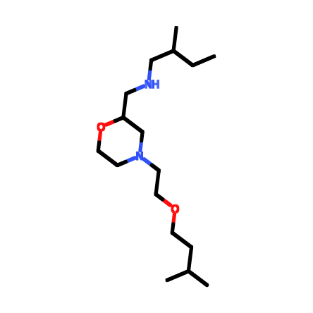 CCC(C)CNCC1CN(CCOCCC(C)C)CCO1